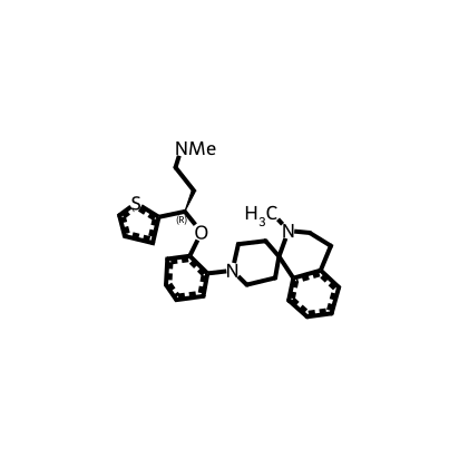 CNCC[C@@H](Oc1ccccc1N1CCC2(CC1)c1ccccc1CCN2C)c1cccs1